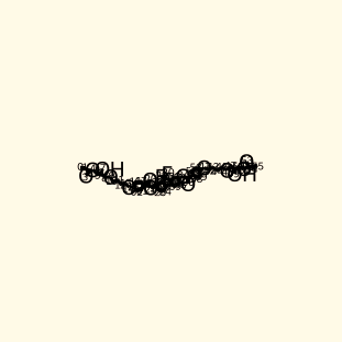 C=CC(=O)OCC(O)COCCCCOc1ccc(C(=O)Oc2ccc3c(c2)C(F)(F)c2cc(OC(=O)c4ccc(OCCCCOCC(O)COC(=O)C=C)cc4)ccc2-3)cc1